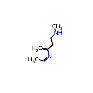 C=C(CCNC)/N=C\C